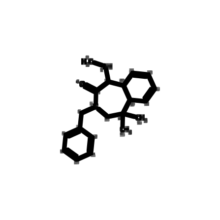 CNC1C(=O)N(Cc2ccccc2)CC(C)(C)C2C=CC=CC12